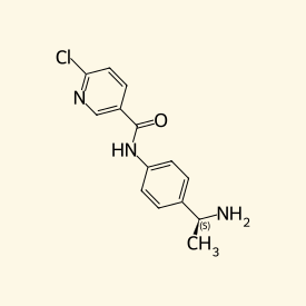 C[C@H](N)c1ccc(NC(=O)c2ccc(Cl)nc2)cc1